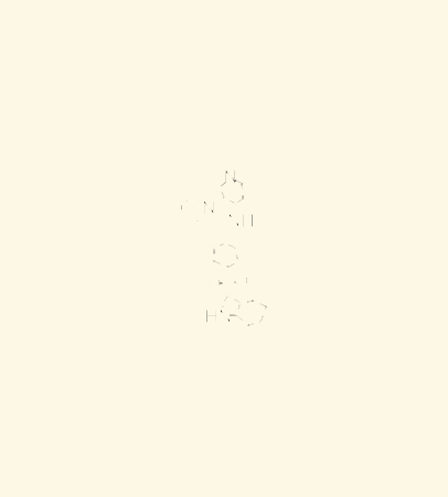 O=[N+]([O-])c1cnccc1NCc1ccc(S(=O)(=O)c2c[nH]c3ccccc23)cc1